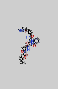 Cc1ccc2cc(-c3nc4cc(C(=O)NC(CNC(=O)C5=C/C=C\C=C/C=C\5)C(=O)NCCNC(=O)c5cccc(OCC(C)N=[N+]=[N-])c5)ccc4o3)c(=O)oc2c1